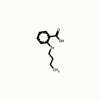 CCCC[Te]c1ccccc1C(=O)O